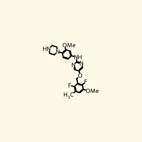 COc1cc(Nc2ncc(OCc3c(F)c(C)cc(OC)c3F)cn2)ccc1N1CCNCC1